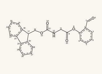 O=Cc1ccccc1OC(=O)CNC(=O)OCC1c2ccccc2-c2ccccc21